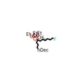 CCCCCCCCCCCCCC(C)(CCCCCCF)O[Si](CC)(OCC)OCC